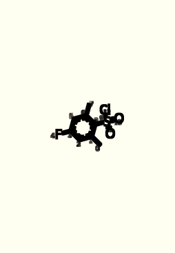 Cc1cc(F)cc(C)c1S(=O)(=O)Cl